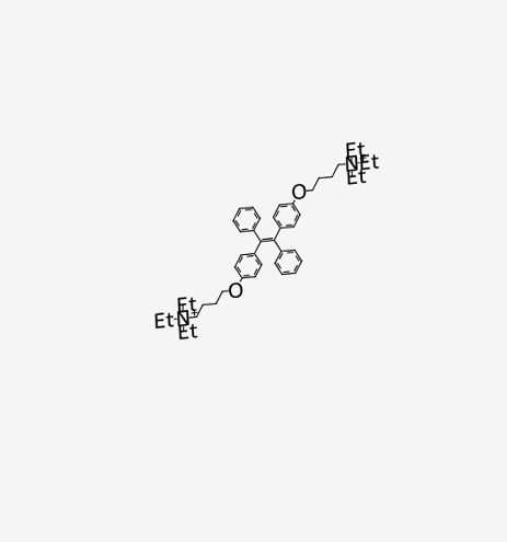 CC[N+](CC)(CC)CCCCOc1ccc(/C(=C(\c2ccccc2)c2ccc(OCCCC[N+](CC)(CC)CC)cc2)c2ccccc2)cc1